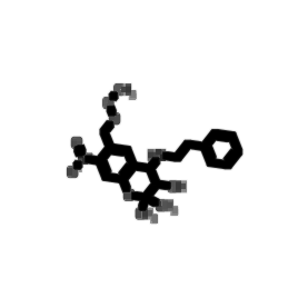 COOCc1cc2c(cc1[N+](=O)[O-])OC(C)(C)C(O)C2NCCc1ccccc1